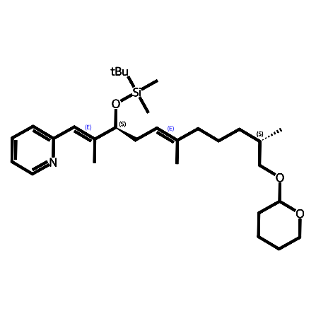 C/C(=C\C[C@H](O[Si](C)(C)C(C)(C)C)/C(C)=C/c1ccccn1)CCC[C@H](C)COC1CCCCO1